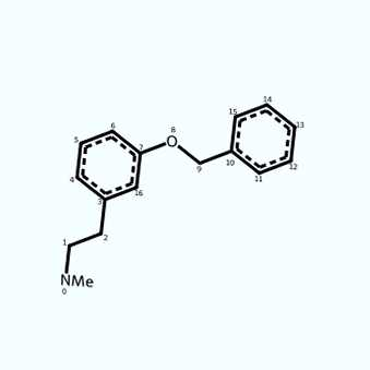 CNCCc1cccc(OCc2ccccc2)c1